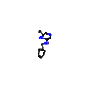 CC(C)c1cncc(NCc2ccccc2)n1